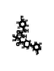 Cc1cc(N2CCN(C(=O)[C@H](NC(=O)Nc3ccc(I)cc3)C(C)(C)C)CC2)ccn1